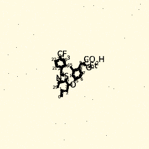 C=CCC(Oc1ccc(CC(OCC)C(=O)O)c(C)c1)c1sc(-c2ccc(C(F)(F)F)cc2)nc1C